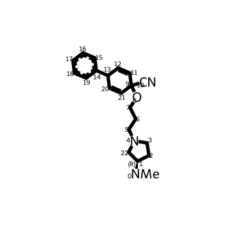 CN[C@@H]1CCN(CCCOC2(C#N)C=CC(c3ccccc3)C=C2)C1